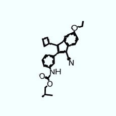 CCOc1ccc2c(c1)C(C1CCC1)C(c1cccc(NC(=O)OCC(C)C)c1)=C2C#N